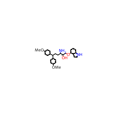 COc1ccc(C(CCC(N)[C@@H](O)COc2cccc3[nH]ccc23)c2ccc(OC)cc2)cc1